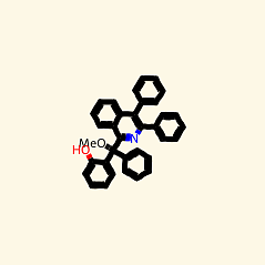 COC(c1ccccc1)(c1ccccc1O)c1nc(-c2ccccc2)c(-c2ccccc2)c2ccccc12